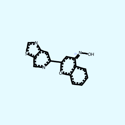 O/N=c1/cc(-c2cc3ncsc3cn2)oc2ccccc12